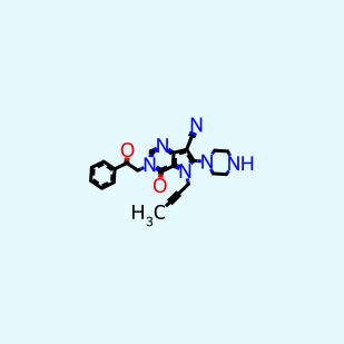 CC#CCn1c(N2CCNCC2)c(C#N)c2ncn(CC(=O)c3ccccc3)c(=O)c21